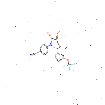 N#Cc1ccc(N2C(=O)C(=O)C[C@@H]2c2cccc(OC(F)(F)F)c2)cc1